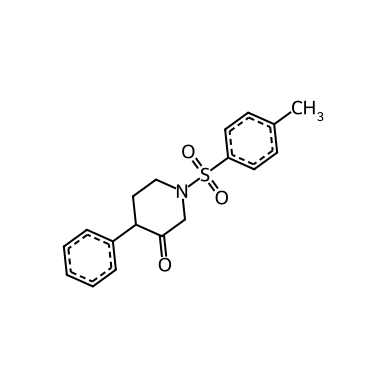 Cc1ccc(S(=O)(=O)N2CCC(c3ccccc3)C(=O)C2)cc1